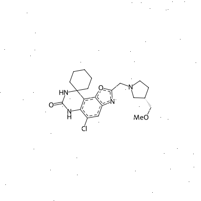 COC[C@H]1CCN(Cc2nc3cc(Cl)c4c(c3o2)C2(CCCCC2)NC(=O)N4)C1